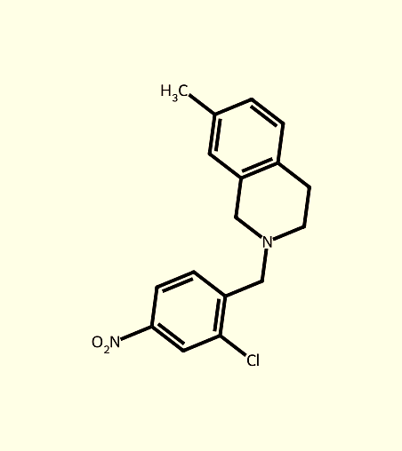 Cc1ccc2c(c1)CN(Cc1ccc([N+](=O)[O-])cc1Cl)CC2